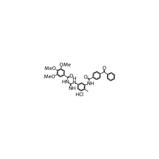 COc1cc(C(=O)NC(=N)Nc2ccc(C)c(NC(=O)c3ccc(C(=O)c4ccccc4)cc3)c2)cc(OC)c1OC.Cl